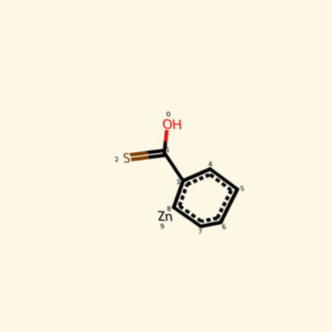 OC(=S)c1ccccc1.[Zn]